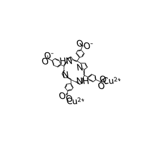 O=C([O-])c1ccc(-c2c3nc(c(-c4ccc(C(=O)[O-])cc4)c4ccc([nH]4)c(-c4ccc(C(=O)[O-])cc4)c4nc(c(-c5ccc(C(=O)[O-])cc5)c5ccc2[nH]5)C=C4)C=C3)cc1.[Cu+2].[Cu+2]